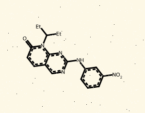 CCC(CC)n1c(=O)ccc2cnc(Nc3cccc([N+](=O)[O-])c3)nc21